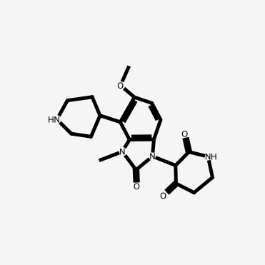 COc1ccc2c(c1C1CCNCC1)n(C)c(=O)n2C1C(=O)CCNC1=O